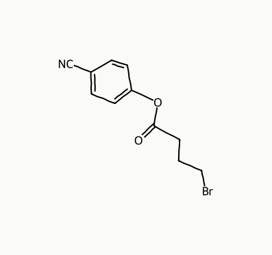 N#Cc1ccc(OC(=O)CCCBr)cc1